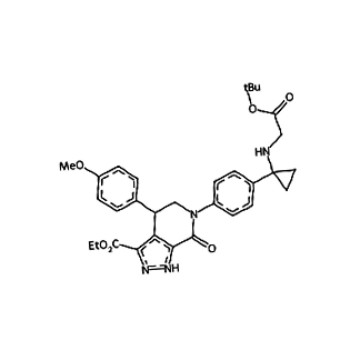 CCOC(=O)c1n[nH]c2c1C(c1ccc(OC)cc1)CN(c1ccc(C3(NCC(=O)OC(C)(C)C)CC3)cc1)C2=O